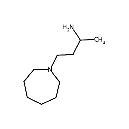 CC(N)CCN1CCCCCC1